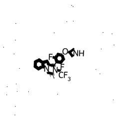 C[C@@H]1Cn2c(cc3ccccc32)[C@@H](c2c(F)cc(OC3CNC3)cc2F)N1CC(F)(F)F